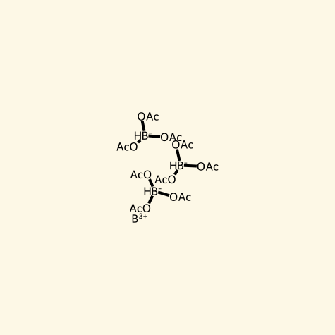 CC(=O)O[BH-](OC(C)=O)OC(C)=O.CC(=O)O[BH-](OC(C)=O)OC(C)=O.CC(=O)O[BH-](OC(C)=O)OC(C)=O.[B+3]